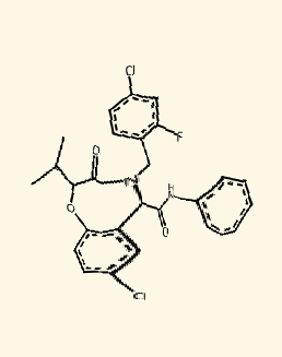 CC(C)C1Oc2ccc(Cl)cc2C(C(=O)Nc2ccccc2)N(Cc2ccc(Cl)cc2F)C1=O